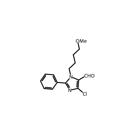 COCCCCn1c(-c2ccccc2)nc(Cl)c1C=O